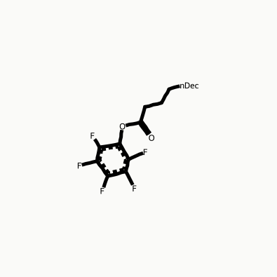 CCCCCCCCCCCCCC(=O)Oc1c(F)c(F)c(F)c(F)c1F